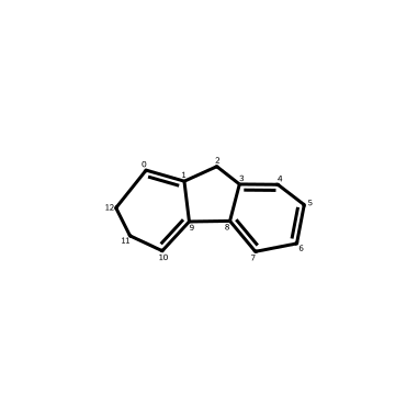 C1=C2Cc3ccccc3C2=CCC1